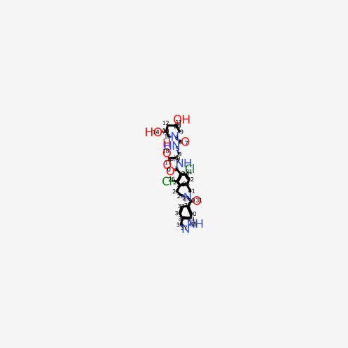 O=C(N[C@@H](CNC(=O)N1C[C@H](O)C[C@H](O)C1)C(=O)O)c1c(Cl)cc2c(c1Cl)CCN(C(=O)c1ccc3cn[nH]c3c1)C2